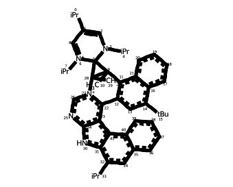 CC(C)C1=CN(C(C)C)C2([N+](C(C)C)=C1)C1(C)c3c(cc(C(C)(C)C)c4ccccc34)-c3c4c(nc[n+]3C12C)[nH]c1c(C(C)C)cc2ccccc2c14